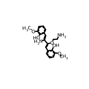 COc1cccc(C=C(N)C(=Cc2cccc(OC)c2O)OCCN)c1O